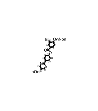 CCCCCCCCCOc1ccc(C(=O)Oc2ccc(-c3ncc(CCCCCCCC)cn3)cc2)cc1Br